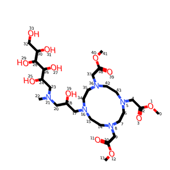 COC(=O)CN1CCN(CC(=O)OC)CCN(CC(O)CN(C)CC(O)C(O)C(O)C(O)CO)CCN(CC(=O)OC)CC1